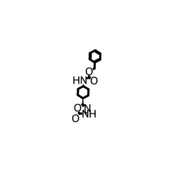 O=C(N[C@H]1CC[C@H](c2n[nH]c(=O)o2)CC1)OCc1ccccc1